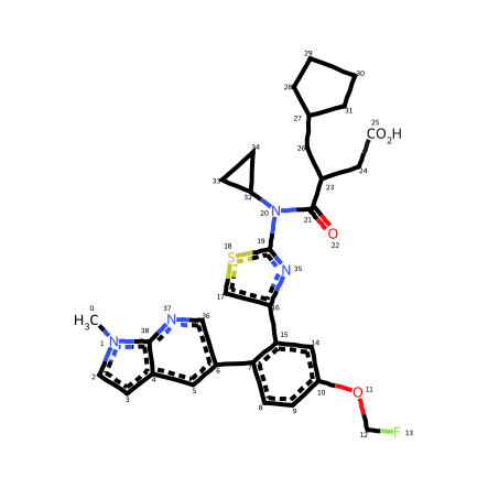 Cn1ccc2cc(-c3ccc(OCF)cc3-c3csc(N(C(=O)C(CC(=O)O)CC4CCCC4)C4CC4)n3)cnc21